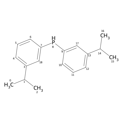 CC(C)c1cccc(Pc2cccc(C(C)C)c2)c1